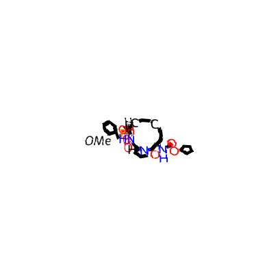 COc1ccccc1CP(=O)(O)[C@@]12C[C@H]1CCCCCCC[C@H](NC(=O)OC1CCCC1)C(=O)N1CCC[C@H]1C(=O)N2